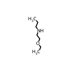 CCCNCCOCC